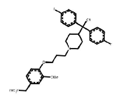 CCOC(=O)Cc1ccc(OCCCN2CCC(C(C#N)(c3ccc(F)cc3)c3ccc(F)cc3)CC2)c(OC)c1